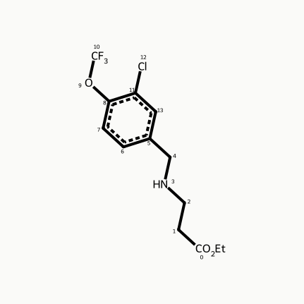 CCOC(=O)CCNCc1ccc(OC(F)(F)F)c(Cl)c1